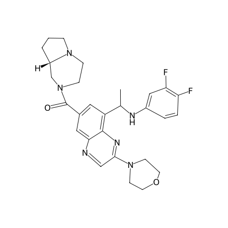 CC(Nc1ccc(F)c(F)c1)c1cc(C(=O)N2CCN3CCC[C@H]3C2)cc2ncc(N3CCOCC3)nc12